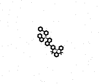 CC1(C)c2ccccc2N2c3ccc(-c4cccc5c(N(c6cccc(-c7ccccc7)c6)c6cccc7ccccc67)cccc45)cc3C(C)(C)c3cccc1c32